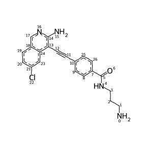 NCCCNC(=O)c1ccc(C#Cc2c(N)ncc3ccc(Cl)cc23)cc1